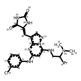 CC(C)C(CNc1cc(Nc2cccc(Cl)c2)nc2c(/C=C3\NC(=O)NC3=O)cnn12)N(C)C